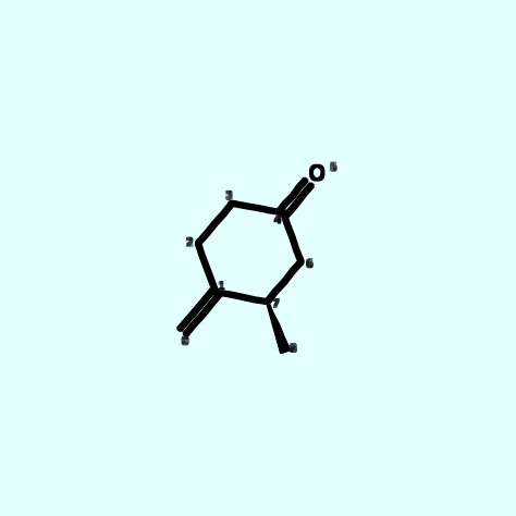 C=C1CCC(=O)C[C@H]1C